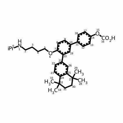 CC(C)NCCCCOc1ccc(-c2ccc(OC(=O)O)cc2)cc1-c1ccc2c(c1)C(C)(C)CCC2(C)C